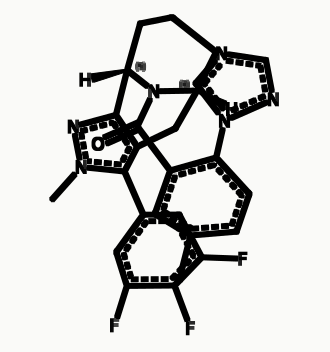 Cn1nc2c(c1-c1cc(F)c(F)c(F)c1)C[C@H]1CCC[C@@H]2N1C(=O)c1cc(F)ccc1-n1cncn1